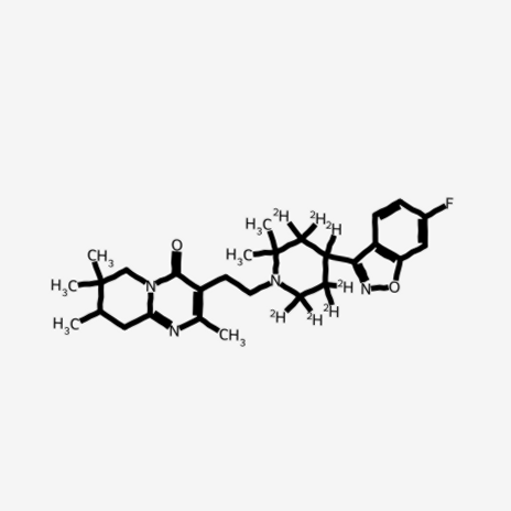 [2H]C1([2H])N(CCc2c(C)nc3n(c2=O)CC(C)(C)C(C)C3)C(C)(C)C([2H])([2H])C([2H])(c2noc3cc(F)ccc23)C1([2H])[2H]